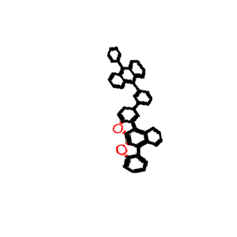 C1=c2oc3c4oc5ccccc5c4c4ccccc4c3c2=CC(c2cccc(-c3c4ccccc4c(-c4ccccc4)c4ccccc34)c2)C1